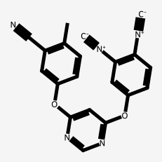 [C-]#[N+]c1ccc(Oc2cc(Oc3ccc(C)c(C#N)c3)ncn2)cc1[N+]#[C-]